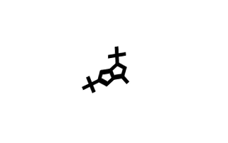 CC1=C2C=C(C(C)(C)C)C=C2C(C(C)(C)C)C1